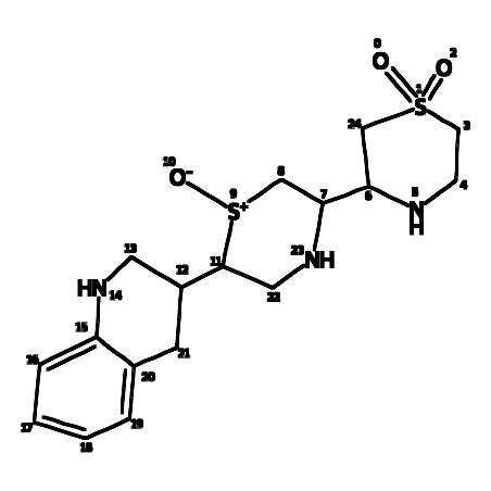 O=S1(=O)CCNC(C2C[S+]([O-])C(C3CNc4ccccc4C3)CN2)C1